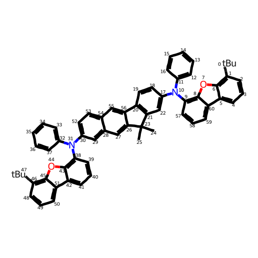 CC(C)(C)c1cccc2c1oc1c(N(c3ccccc3)c3ccc4c(c3)C(C)(C)c3cc5cc(N(c6ccccc6)c6cccc7c6oc6c(C(C)(C)C)cccc67)ccc5cc3-4)cccc12